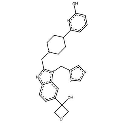 Oc1cccc(C2CCN(Cc3nc4ccc(C5(O)COC5)cc4n3Cc3cncs3)CC2)n1